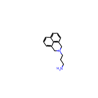 NCCCN1Cc2cccc3cccc(c23)C1